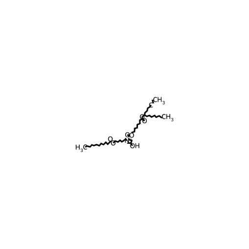 CCCCCCCCCCCC(=O)OCCCCCN1CC(O)C[C@H]1C(=O)OCCCCCCCC(=O)OC(CCCCCCCC)CCCCCCCC